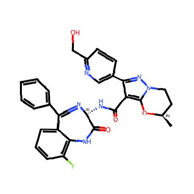 C[C@@H]1CCn2nc(-c3ccc(CO)nc3)c(C(=O)N[C@H]3N=C(c4ccccc4)c4cccc(F)c4NC3=O)c2O1